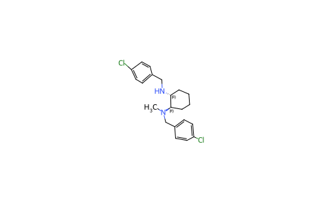 CN(Cc1ccc(Cl)cc1)[C@@H]1CCCC[C@H]1NCc1ccc(Cl)cc1